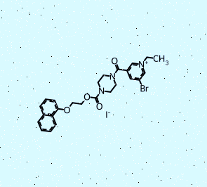 CC[n+]1cc(Br)cc(C(=O)N2CCN(C(=O)OCCOc3cccc4ccccc34)CC2)c1.[I-]